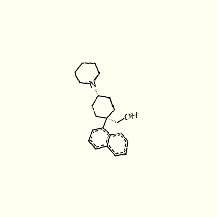 OC[C@]1(c2cccc3ccccc32)CC[C@H](N2CCCCC2)CC1